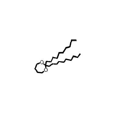 CCCCCCCCCCC1(CCCCCCCCCC)OCCCCO1